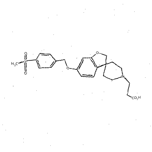 CS(=O)(=O)c1ccc(COc2ccc3c(c2)OCC32CCN(CCC(=O)O)CC2)cc1